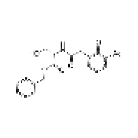 CC(=O)c1cccn(CC(=O)N[C@@H](CO)C(=O)OCc2ccccc2)c1=O